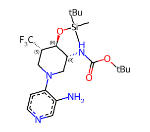 CC(C)(C)OC(=O)N[C@@H]1CN(c2ccncc2N)C[C@H](C(F)(F)F)[C@H]1O[Si](C)(C)C(C)(C)C